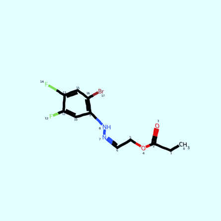 CCC(=O)OC/C=N\Nc1cc(F)c(F)cc1Br